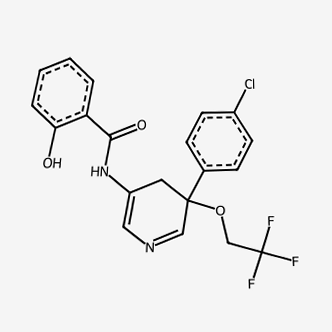 O=C(NC1=CN=CC(OCC(F)(F)F)(c2ccc(Cl)cc2)C1)c1ccccc1O